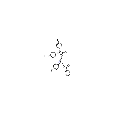 O=C(OC/C(=C\C[C@H]1C(=O)N(c2ccc(F)cc2)[C@@H]1c1ccc(O)cc1)c1ccc(F)cc1)c1ccccc1